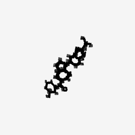 C[C@H]1CCCN(C(=O)c2cnc3c(ccn3-c3ccc4nc(N(C)C)nn4c3)c2)C1